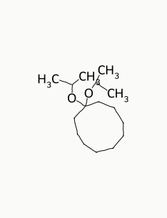 CC(C)OC1(OC(C)C)CCCCCCCCC1